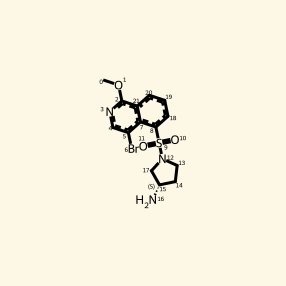 COc1ncc(Br)c2c(S(=O)(=O)N3CC[C@H](N)C3)cccc12